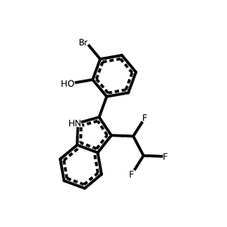 Oc1c(Br)cccc1-c1[nH]c2ccccc2c1C(F)C(F)F